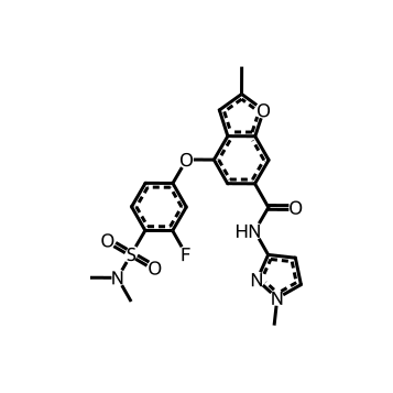 Cc1cc2c(Oc3ccc(S(=O)(=O)N(C)C)c(F)c3)cc(C(=O)Nc3ccn(C)n3)cc2o1